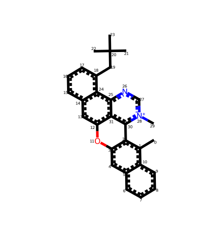 Cc1c2c(cc3ccccc13)Oc1cc3cccc(CC(C)(C)C)c3c3nc[n+](C)c-2c13